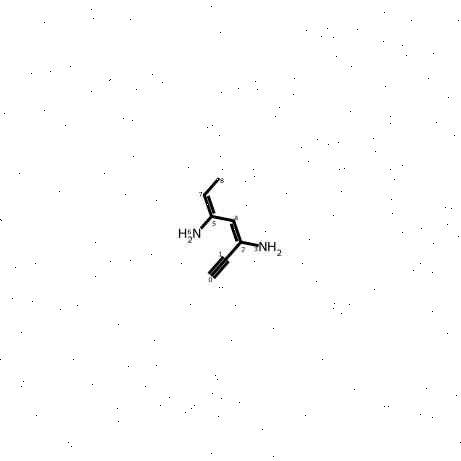 C#C/C(N)=C\C(N)=C/C